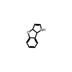 C1=CC2Oc3ccccc3C2N1